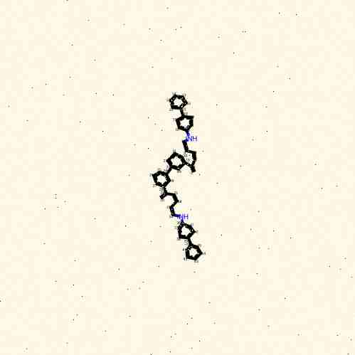 C=C(/C=C\C=C/Nc1ccc(-c2ccccc2)cc1)c1cccc(-c2cccc(C(=C)/C=C\C=C/Nc3ccc(-c4ccccc4)cc3)c2)c1